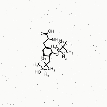 CC(C)(Cc1ccc(CC(N)C(=O)O)cc1O[Si](C)(C)C(C)(C)C)[Si](C)(C)O